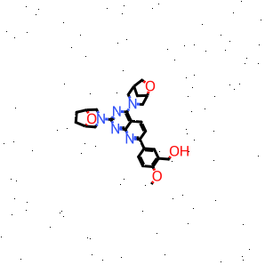 COc1ccc(-c2ccc3c(N4CC5COC(C5)C4)nc(N4CC5CCC(C4)O5)nc3n2)cc1CO